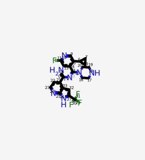 C=C(/N=C(\c1c(C2CC2)cnc(F)c1N)N1CCNCC1)c1ccnc2[nH]c(C(F)(F)F)cc12